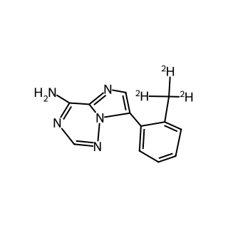 [2H]C([2H])([2H])c1ccccc1-c1cnc2c(N)ncnn12